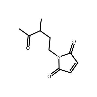 CC(=O)C(C)CCN1C(=O)C=CC1=O